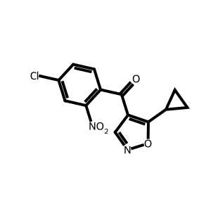 O=C(c1ccc(Cl)cc1[N+](=O)[O-])c1cnoc1C1CC1